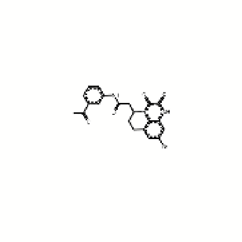 CC(=O)c1cccc(NC(=O)CC2CCc3cc(Br)cc4[nH]c(=O)c(=O)n2c34)c1